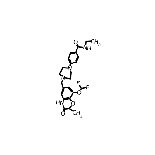 CCNC(=O)c1ccc(N2CCN(Cc3cc4c(c(OC(F)F)c3)OC(C)C(=O)N4)CC2)cc1